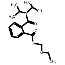 CCOCOC(=O)c1ccccc1C(=O)N(C(C)C)C(C)C